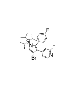 CC(C)[Si](C(C)C)(C(C)C)n1cc(Br)c(-c2ccnc(F)c2)c1-c1ccc(F)cc1